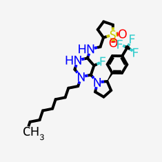 CCCCCCCCCN1CNC(NCC2CCCS2(=O)=O)C(F)C1N1CCC[C@@H]1c1ccc(C(F)(F)F)cc1